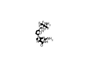 Nc1nc2c(ncn2[C@H]2CC[C@@H](CNC(N)(C(F)(F)F)C(F)(F)F)O2)c(=O)[nH]1